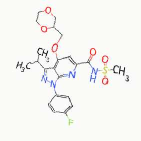 CC(C)c1nn(-c2ccc(F)cc2)c2nc(C(=O)NS(C)(=O)=O)cc(OCC3COCCO3)c12